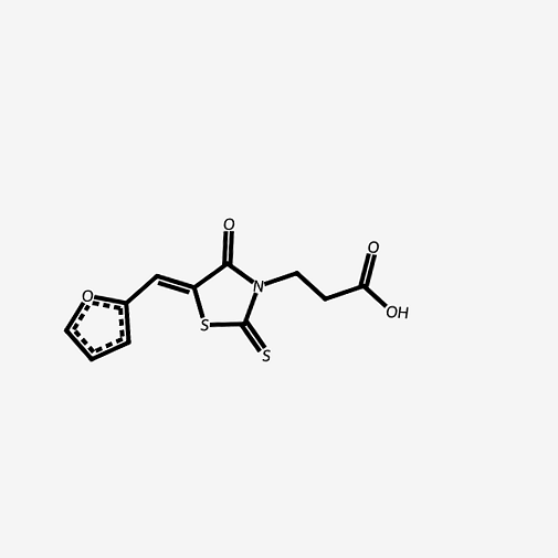 O=C(O)CCN1C(=O)C(=Cc2ccco2)SC1=S